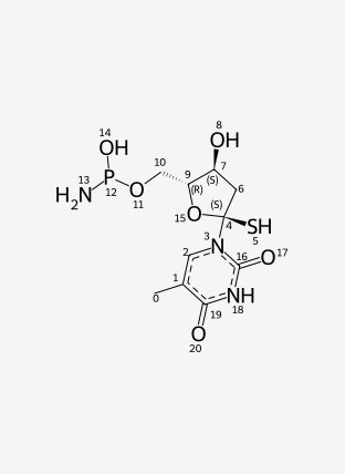 Cc1cn([C@@]2(S)C[C@H](O)[C@@H](COP(N)O)O2)c(=O)[nH]c1=O